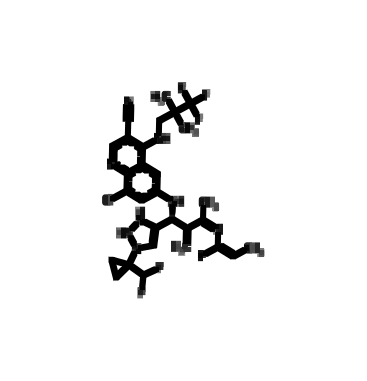 C=C(/C(C)=N\C(F)=C/C)[C@H](Nc1cc(Cl)c2ncc(C#N)c(NCC(C)(C)C(F)(F)F)c2c1)C1=CN(C2(C(F)F)CC2)NN1